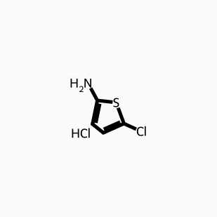 Cl.Nc1ccc(Cl)s1